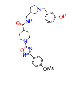 COc1ccc(-c2noc(N3CCC(C(=O)NCC4CCN(Cc5cccc(O)c5)C4)CC3)n2)cc1